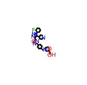 OCC1CN(Cc2ccc(-c3noc(-c4nnn(C5C=CC=CC5F)c4-c4ccncc4)n3)cc2)CCO1